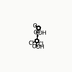 COc1cccc(P(=O)(O)C#Cc2cc(Cl)c(C(=O)O)c(Cl)c2)c1